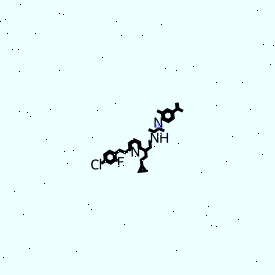 C=C(C)c1ccc(/N=C(\C)C(C)NCCC(CCC2CC2)c2cccc(CCc3ccc(Cl)cc3F)n2)c(C)c1